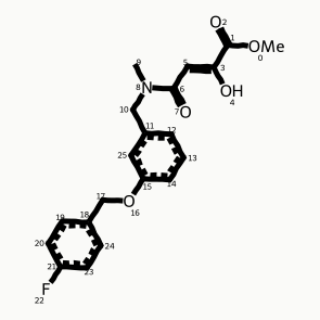 COC(=O)C(O)=CC(=O)N(C)Cc1cccc(OCc2ccc(F)cc2)c1